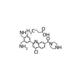 CCCC(=O)O.NCc1ccc(-c2cc(Cl)c3ccc(C(=O)N4CCNCC4)cc3n2)cc1CN